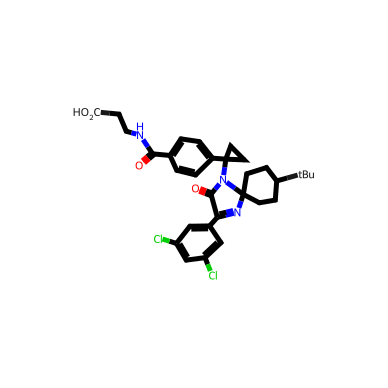 CC(C)(C)C1CCC2(CC1)N=C(c1cc(Cl)cc(Cl)c1)C(=O)N2C1(c2ccc(C(=O)NCCC(=O)O)cc2)CC1